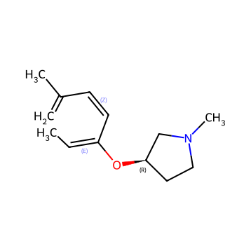 C=C(C)/C=C\C(=C/C)O[C@@H]1CCN(C)C1